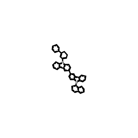 C1=C(c2ccccc2)CCC=C1n1c2ccccc2c2cc(-c3ccc4c(c3)c3ccccc3n4-c3cccc4ccccc34)ccc21